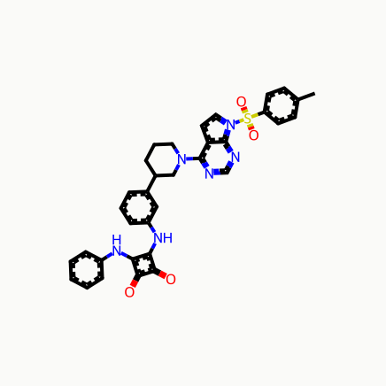 Cc1ccc(S(=O)(=O)n2ccc3c(N4CCCC(c5cccc(Nc6c(Nc7ccccc7)c(=O)c6=O)c5)C4)ncnc32)cc1